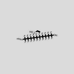 C=CC(=O)O.CCCCCCC(F)(F)C(F)(F)C(F)(F)C(F)(F)C(F)(F)C(F)(F)C(F)(F)C(F)(F)C(F)(F)C(O)(F)F